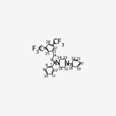 FC(F)(F)c1cc(C[CH]C(c2ccccc2)N2CCN(c3ccccc3)CC2)cc(C(F)(F)F)c1